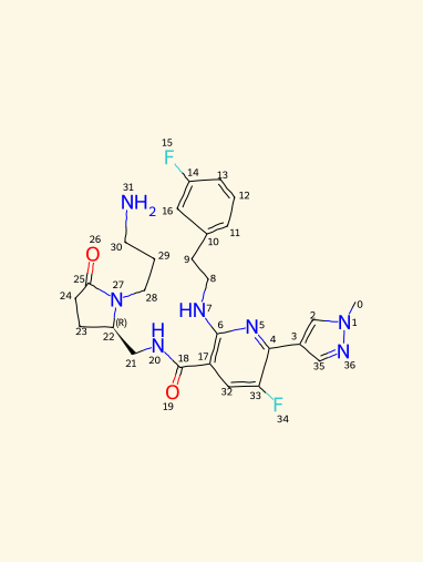 Cn1cc(-c2nc(NCCc3cccc(F)c3)c(C(=O)NC[C@H]3CCC(=O)N3CCCN)cc2F)cn1